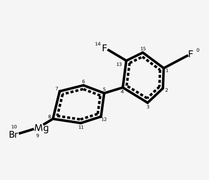 Fc1ccc(-c2cc[c]([Mg][Br])cc2)c(F)c1